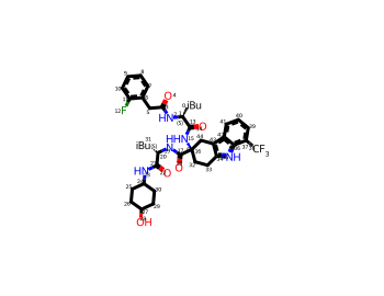 CCC(C)[C@H](NC(=O)Cc1ccccc1F)C(=O)N[C@]1(C(=O)NC(C(=O)NC2CCC(O)CC2)[C@@H](C)CC)CCc2[nH]c3c(C(F)(F)F)cccc3c2C1